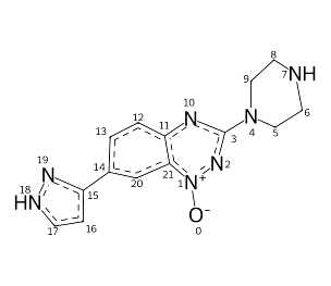 [O-][n+]1nc(N2CCNCC2)nc2ccc(-c3cc[nH]n3)cc21